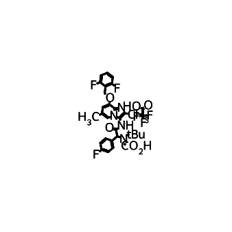 Cc1cc(OCc2c(F)cccc2F)c2nc(C)c(NC(=O)C(c3ccc(F)cc3)N(C(=O)O)C(C)(C)C)n2c1.O=C(O)C(F)(F)F